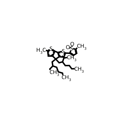 CCCCC(CC)CC1(CC(CC)CCCC)c2cc(C)sc2-c2sc(C3=CC=C(C)S3(=O)=O)cc21